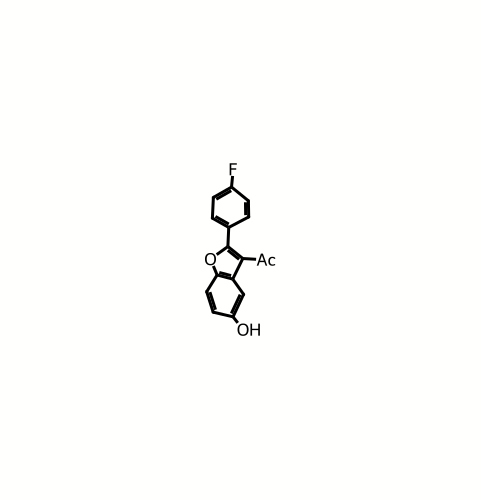 CC(=O)c1c(-c2ccc(F)cc2)oc2ccc(O)cc12